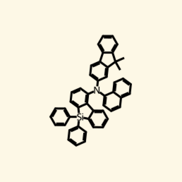 CC1(C)c2ccccc2-c2ccc(N(c3cccc4c3-c3ccccc3[Si]4(c3ccccc3)c3ccccc3)c3cccc4ccccc34)cc21